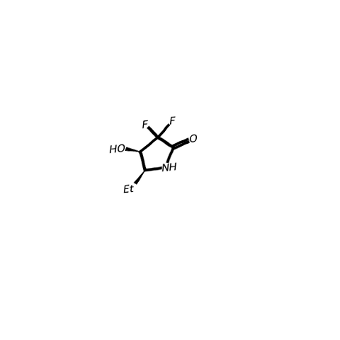 CC[C@@H]1NC(=O)C(F)(F)[C@@H]1O